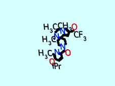 Cc1nc(C(=O)N2CCC3(CC2)c2cc(C(=O)C(F)(F)F)cn2C(C)(C)CN3C)ccc1OC(C)C